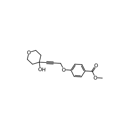 COC(=O)c1ccc(OCC#CC2(O)CCOCC2)cc1